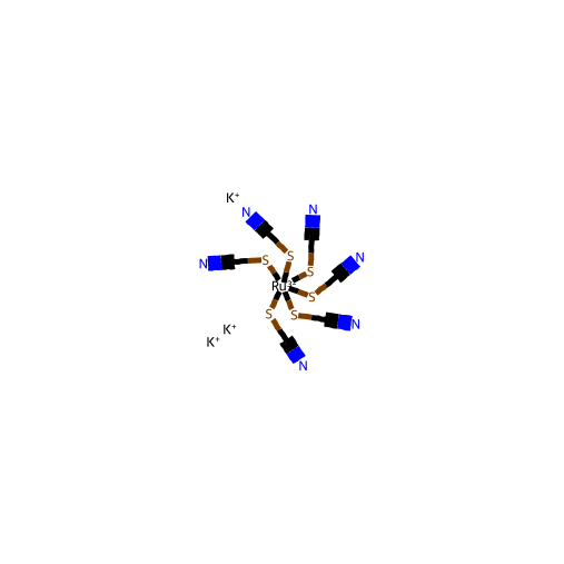 N#C[S][Ru-3]([S]C#N)([S]C#N)([S]C#N)([S]C#N)[S]C#N.[K+].[K+].[K+]